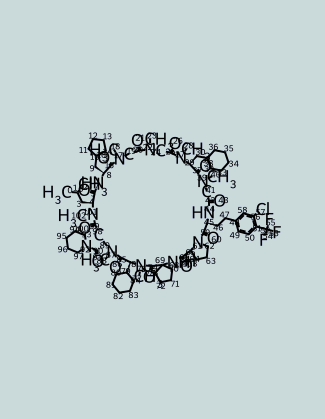 CC(C)C[C@H]1C(=O)N[C@@H](CC2CCCC2)C(=O)N(C)CC(=O)N(C)CC(=O)N(C)[C@@H](CC2CCCCC2)C(=O)N(C)CC(=O)N[C@@H](CCc2ccc(C(F)(F)F)c(Cl)c2)C(=O)N2CCC[C@H]2C(=O)NC2(CCCC2)C(=O)N(C)[C@@H](C2CCCCC2)C(=O)N(C)[C@H](C(=O)N2CCCCC2)CC(=O)N1C